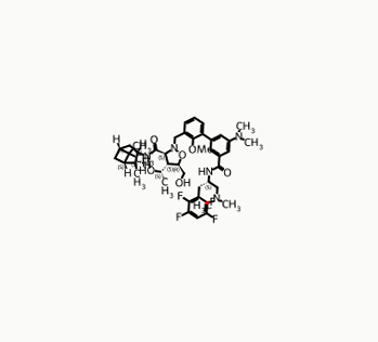 COc1c(CN2O[C@@H](CO)[C@H]([C@H](C)O)[C@H]2C(=O)N[C@H]2C[C@H]3C[C@@H]([C@@H]2C)C3(C)C)cccc1-c1cc(C(=O)N[C@@H](Cc2c(F)c(F)cc(F)c2F)CN(C)C)cc(N(C)C)c1